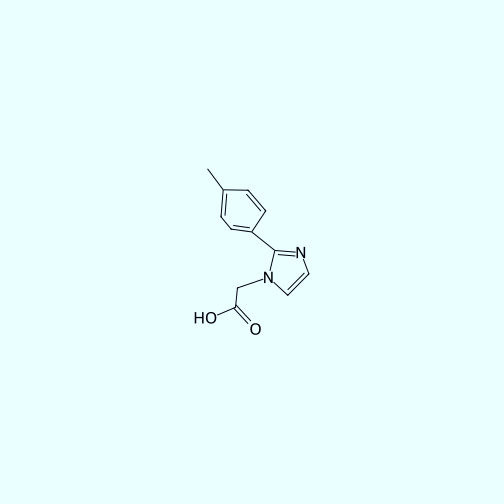 Cc1ccc(-c2nccn2CC(=O)O)cc1